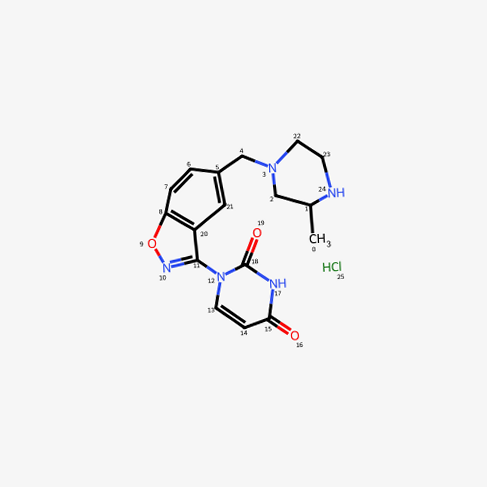 CC1CN(Cc2ccc3onc(-n4ccc(=O)[nH]c4=O)c3c2)CCN1.Cl